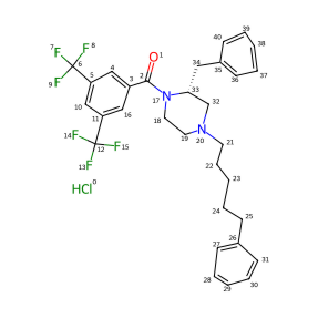 Cl.O=C(c1cc(C(F)(F)F)cc(C(F)(F)F)c1)N1CCN(CCCCCc2ccccc2)C[C@H]1Cc1ccccc1